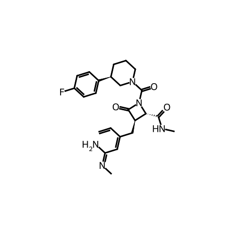 C=C/C(=C\C(N)=N/C)C[C@H]1C(=O)N(C(=O)N2CCC[C@H](c3ccc(F)cc3)C2)[C@@H]1C(=O)NC